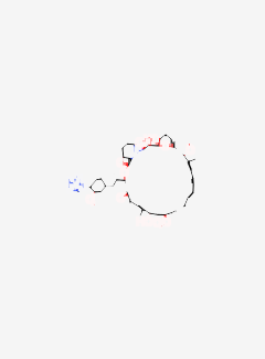 CO[C@H]1C[C@@H]2CC[C@@H](C)C(O)(O2)C(=O)C(=O)N2CCCC[C@H]2C(=O)O[C@H]([C@H](C)C[C@@H]2CC[C@H](n3cnnn3)[C@H](OC)C2)CC(=O)[C@H](C)/C=C(\C)[C@@H](O)[C@@H](OC)C(=O)[C@@H](C)C[C@H](C)/C=C/C=C/C=C/1C